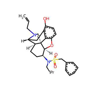 C=CCN1CC[C@@]23c4c5ccc(O)c4C[C@@H]1[C@@H]2CC[C@H](N(CC(C)C)S(=O)(=O)Cc1ccccc1)[C@@H]3O5